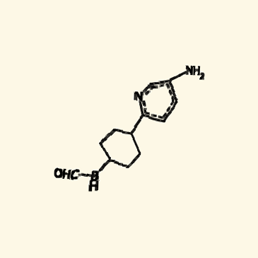 Nc1ccc(C2CCC(BC=O)CC2)nc1